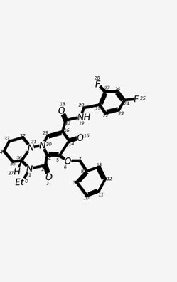 CCN1C(=O)c2c(OCc3ccccc3)c(=O)c(C(=O)NCc3ccc(F)cc3F)cn2N2CCCC[C@@H]12